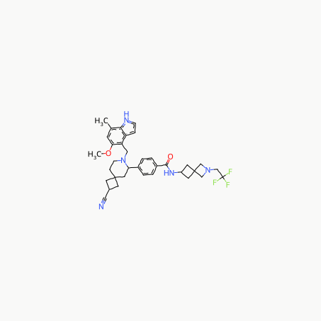 COc1cc(C)c2[nH]ccc2c1CN1CCC2(CC(C#N)C2)CC1c1ccc(C(=O)NC2CC3(C2)CN(CC(F)(F)F)C3)cc1